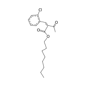 CCCCCCCCOC(=O)C(=Cc1ccccc1Cl)C(C)=O